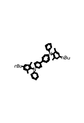 CCCCc1cc(C)c(N(c2ccccc2)c2ccc(-c3ccc(N(C4=C(C)CC(CCCC)C=C4C)c4ccccc4)cc3)cc2)c(C)c1